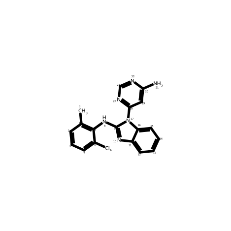 Cc1cccc(Cl)c1Nc1nc2ccccc2n1-c1cc(N)ncn1